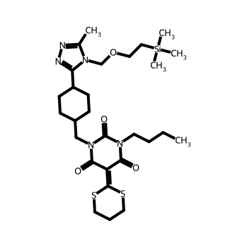 CCCCN1C(=O)C(=C2SCCCS2)C(=O)N(CC2CCC(c3nnc(C)n3COCC[Si](C)(C)C)CC2)C1=O